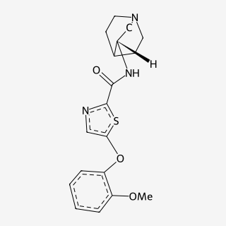 COc1ccccc1Oc1cnc(C(=O)N[C@H]2CN3CCC2CC3)s1